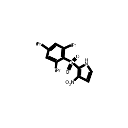 CC(C)c1cc(C(C)C)c(S(=O)(=O)c2[nH]ccc2[N+](=O)[O-])c(C(C)C)c1